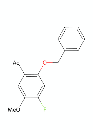 COc1cc(C(C)=O)c(OCc2ccccc2)cc1F